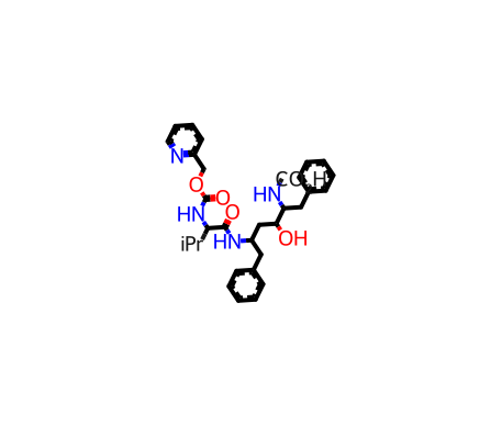 CC(C)C(NC(=O)OCc1ccccn1)C(=O)NC(Cc1ccccc1)CC(O)C(Cc1ccccc1)NC(=O)O